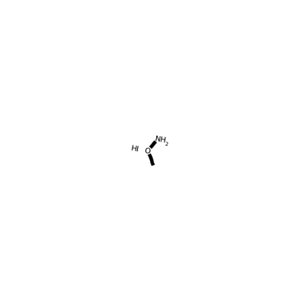 CON.I